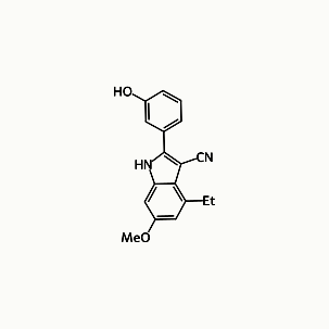 CCc1cc(OC)cc2[nH]c(-c3cccc(O)c3)c(C#N)c12